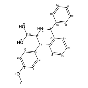 COc1ccc(CC(NC(c2ccccc2)c2ccccc2)P(O)O)cc1